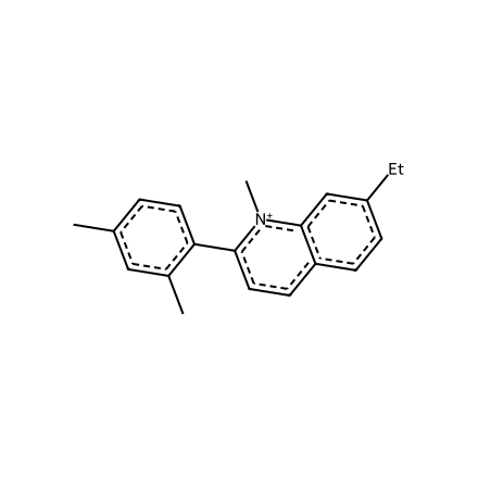 CCc1ccc2ccc(-c3ccc(C)cc3C)[n+](C)c2c1